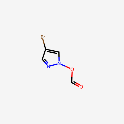 O=COn1cc(Br)cn1